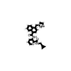 O=C(NCC1CC1)c1ncccc1NC(=O)c1ccc(Cn2ccnn2)c2ccccc12